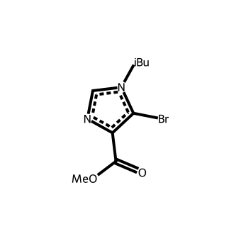 CCC(C)n1cnc(C(=O)OC)c1Br